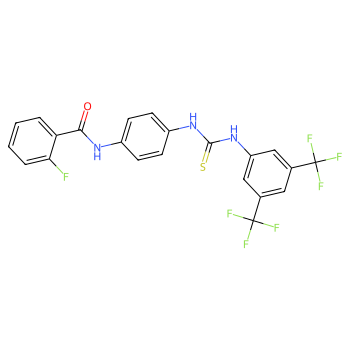 O=C(Nc1ccc(NC(=S)Nc2cc(C(F)(F)F)cc(C(F)(F)F)c2)cc1)c1ccccc1F